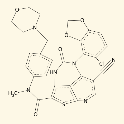 CN(C(=O)c1sc2ncc(C#N)c3c2c1NC(=O)N3c1c(Cl)ccc2c1OCO2)c1ccc(CN2CCOCC2)cc1